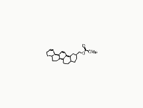 COC(=O)OCC1CCC2CCC3C(=C2C1)C=CC1=C2C=CCCC2CCC13